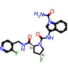 NC(=O)n1cc(NC(=O)N2C[C@H](F)C[C@H]2C(=O)NCc2ccncc2F)c2ccccc21